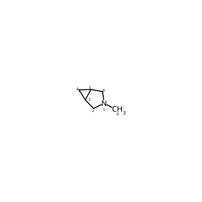 CN1CC2[CH]C2C1